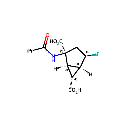 CC(C)C(=O)N[C@@]1(C(=O)O)C[C@@H](F)[C@H]2[C@H](C(=O)O)[C@H]21